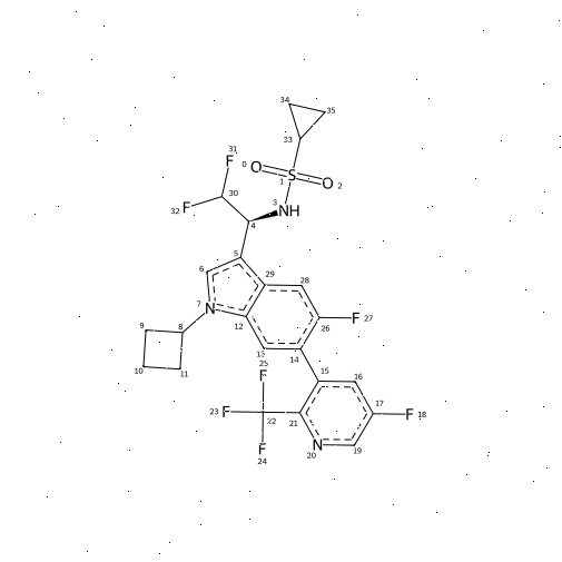 O=S(=O)(N[C@@H](c1cn(C2CCC2)c2cc(-c3cc(F)cnc3C(F)(F)F)c(F)cc12)C(F)F)C1CC1